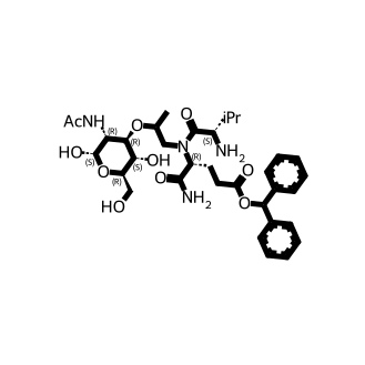 CC(=O)N[C@@H]1[C@@H](OC(C)CN(C(=O)[C@@H](N)C(C)C)[C@H](CCC(=O)OC(c2ccccc2)c2ccccc2)C(N)=O)[C@H](O)[C@@H](CO)O[C@@H]1O